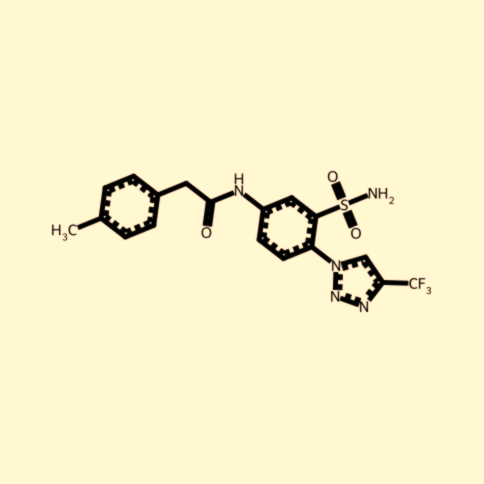 Cc1ccc(CC(=O)Nc2ccc(-n3cc(C(F)(F)F)nn3)c(S(N)(=O)=O)c2)cc1